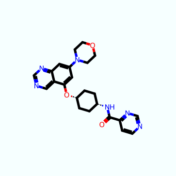 O=C(N[C@H]1CC[C@@H](Oc2cc(N3CCOCC3)cc3ncncc23)CC1)c1ccncn1